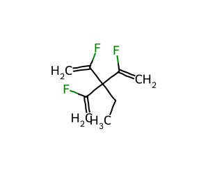 C=C(F)C(CC)(C(=C)F)C(=C)F